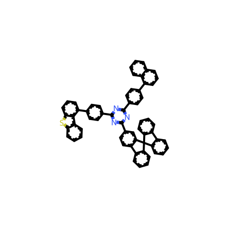 c1ccc2c(c1)-c1ccccc1C21c2ccccc2-c2ccc(-c3nc(-c4ccc(-c5cccc6ccccc56)cc4)nc(-c4ccc(-c5cccc6sc7ccccc7c56)cc4)n3)cc21